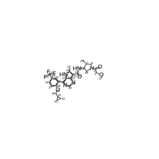 COCC(=O)N1C[C@H](C)[C@H](NC(=O)c2c(C)[nH]c3c(-c4cc(C(F)(F)F)ccc4OCC4CC4)ncnc23)C1